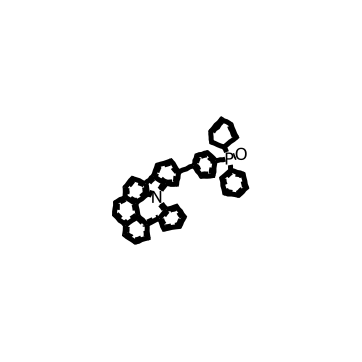 O=P(c1ccccc1)(c1ccc(-c2ccc3c4ccc5ccc6cccc7c8ccccc8n(c3c2)c4c5c67)cc1)C1C=CC=CC1